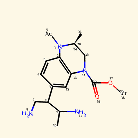 CC(=O)N1c2ccc(C(CN)C(C)N)cc2N(C(=O)OC(C)C)C[C@@H]1C